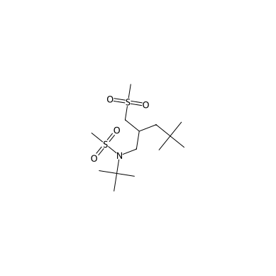 CC(C)(C)CC(CN(C(C)(C)C)S(C)(=O)=O)CS(C)(=O)=O